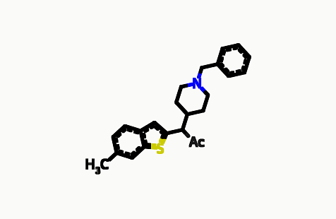 CC(=O)C(c1cc2ccc(C)cc2s1)C1CCN(Cc2ccccc2)CC1